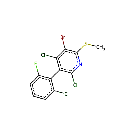 CSc1nc(Cl)c(-c2c(F)cccc2Cl)c(Cl)c1Br